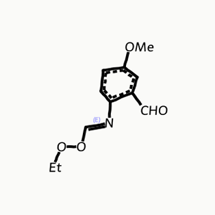 CCOO/C=N/c1ccc(OC)cc1C=O